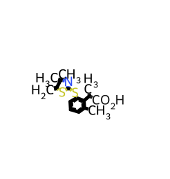 C=C1SC(Sc2cccc(C)c2C(C)C(=O)O)=NC1(C)C